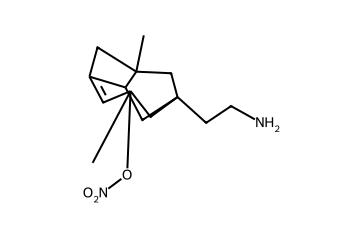 CC1(O[N+](=O)[O-])C=C2CC3(C)CC(CCN)(CC23)C1